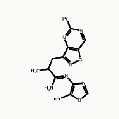 CCCc1ocnc1N=C(N)C(C)Cc1noc2cnc(C(C)C)nc12